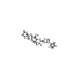 Cc1nc(Nc2ccccc2)n(C)c(=O)c1CCN1CC2CC(c3ccsc3)C2C1